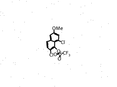 COc1cc(Cl)c2c(OS(=O)(=O)C(F)(F)F)c(Cl)ccc2c1